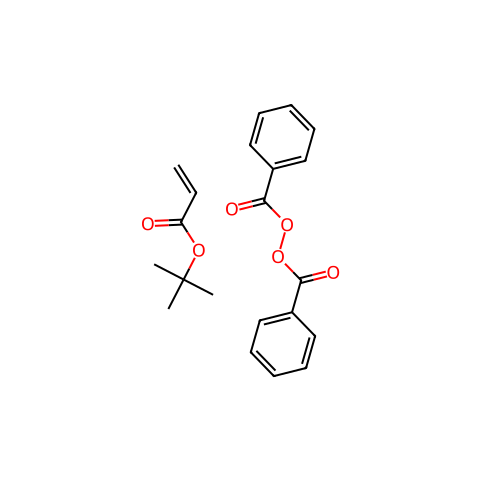 C=CC(=O)OC(C)(C)C.O=C(OOC(=O)c1ccccc1)c1ccccc1